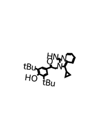 CC(C)(C)c1cc(C(=O)Cn2c(C3CC3)c3ccccn3c2=N)cc(C(C)(C)C)c1O